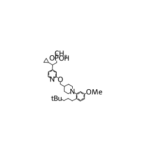 COc1ccc(CCCC(C)(C)C)c(N2CCC(COc3cc(C(CP(C)(=O)O)C4CC4)ccn3)CC2)c1